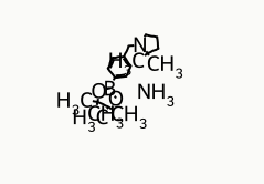 CC1(C)CCCN1Cc1ccc(B2OC(C)(C)C(C)(C)O2)cc1.N